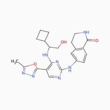 Cc1nnc(-c2cnc(Nc3ccc4c(c3)CCNC4=O)nc2NC(CO)C2CCC2)o1